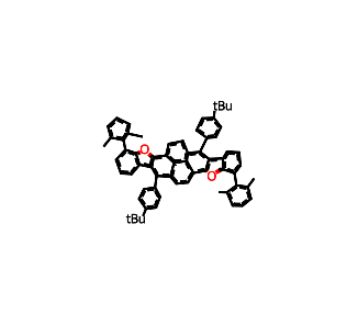 Cc1cccc(C)c1-c1cccc2c1oc1c3ccc4c(-c5ccc(C(C)(C)C)cc5)c5c6cccc(-c7c(C)cccc7C)c6oc5c5ccc(c(-c6ccc(C(C)(C)C)cc6)c21)c3c45